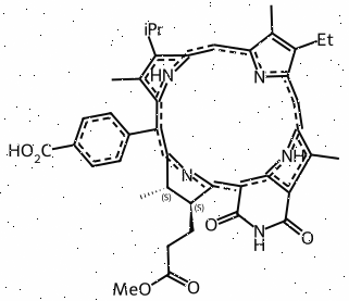 CCC1=C(C)c2cc3[nH]c(c(C)c3C(C)C)c(-c3ccc(C(=O)O)cc3)c3nc(c4c5[nH]c(cc1n2)c(C)c5C(=O)NC4=O)[C@@H](CCC(=O)OC)[C@@H]3C